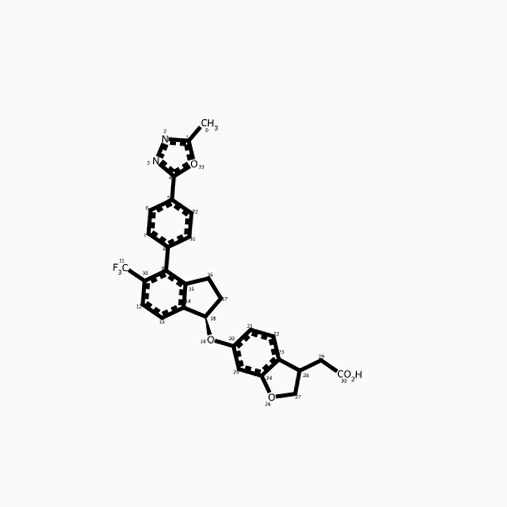 Cc1nnc(-c2ccc(-c3c(C(F)(F)F)ccc4c3CC[C@H]4Oc3ccc4c(c3)OCC4CC(=O)O)cc2)o1